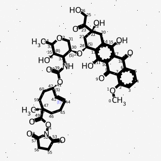 COc1cccc2c1C(=O)c1c(O)c3c(c(O)c1C2=O)C[C@@](O)(C(=O)CO)C[C@@H]3O[C@@H]1COC(C)[C@H](O)C1NC(=O)O[C@@H]1/C=C/CC[C@](C)(C(=O)ON2C(=O)CCC2=O)CC1